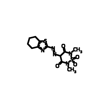 CN1C(=O)C(N=Nc2nc3c(s2)CCCC3)C(=O)N(C)S1(=O)=O